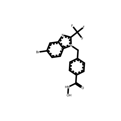 O=C(NO)c1ccc(Cn2c(C(F)(F)F)nc3cc(Br)ccc32)cc1